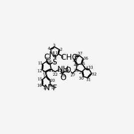 O=Cc1cccnc1Sc1c(Cl)ccc(-c2ccnc(F)c2)c1CNC(=O)OCC1c2ccccc2-c2ccccc21